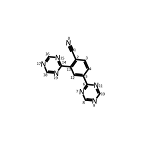 N#Cc1ccc(-c2ncncn2)cc1-c1ncncn1